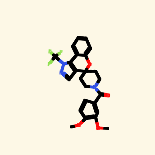 COc1ccc(C(=O)N2CCC3(CC2)Oc2ccccc2-c2c3cnn2C(F)(F)F)cc1OC